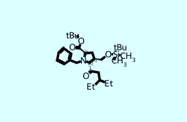 CCC(CC)CC(=O)[C@H]1[C@H](CO[Si](C)(C)C(C)(C)C)C[C@H](C(=O)OC(C)(C)C)N1Cc1ccccc1